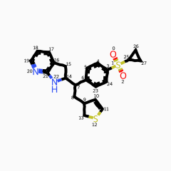 O=S(=O)(c1ccc(C(CC2C=CSC2)C2Cc3cccnc3N2)cc1)C1CC1